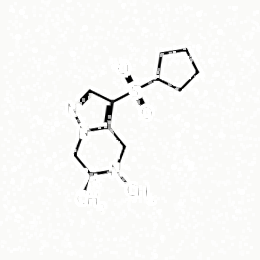 C[C@H]1Cn2ncc(S(=O)(=O)C3CCCC3)c2CN1C